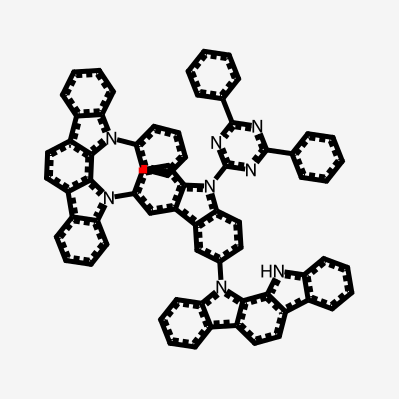 c1ccc(-c2nc(-c3ccccc3)nc(-n3c4ccc(-n5c6ccccc6c6ccc7c8ccccc8[nH]c7c65)cc4c4cc(-n5c6ccccc6c6ccc7c8ccccc8n(-c8ccccc8)c7c65)ccc43)n2)cc1